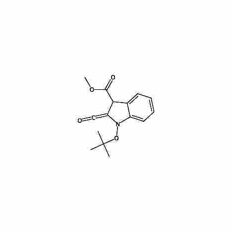 COC(=O)C1C(=C=O)N(OC(C)(C)C)c2ccccc21